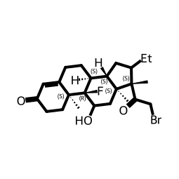 CCC1C[C@H]2[C@@H]3CCC4=CC(=O)CC[C@]4(C)[C@@]3(F)C(O)C[C@]2(C)[C@@]1(C)C(=O)CBr